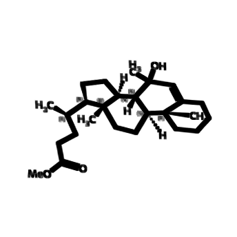 COC(=O)CC[C@@H](C)[C@H]1CC[C@H]2[C@H]3[C@H](CC[C@]12C)[C@@]1(C)CCCCC1=CC3(C)O